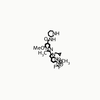 COc1cc(C(=O)N[C@@H]2CCCCNC2)cc2nc(-c3cc4ccc(N(C(F)F)S(C)(=O)=O)nc4n3CC3CC3)c(C)n12